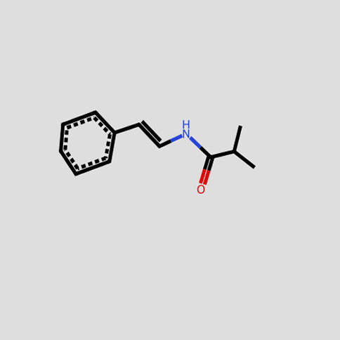 CC(C)C(=O)NC=Cc1ccccc1